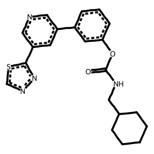 O=C(NCC1CCCCC1)Oc1cccc(-c2cncc(-c3nncs3)c2)c1